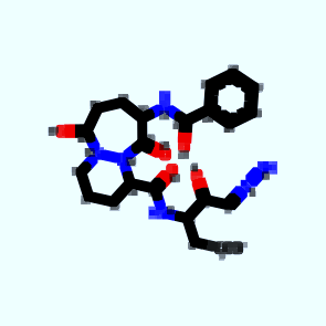 N=[N+]=CC(=O)C(CC(=O)[O-])NC(=O)C1CCCN2C(=O)CCC(NC(=O)c3ccccc3)C(=O)N12